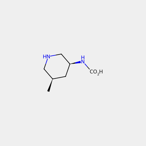 C[C@H]1CNC[C@@H](NC(=O)O)C1